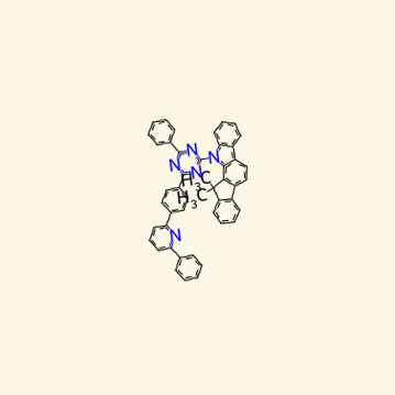 CC1(C)c2ccccc2-c2ccc3c4ccccc4n(-c4nc(-c5ccccc5)nc(-c5ccc(-c6cccc(-c7ccccc7)n6)cc5)n4)c3c21